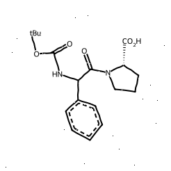 CC(C)(C)OC(=O)NC(C(=O)N1CCC[C@H]1C(=O)O)c1ccccc1